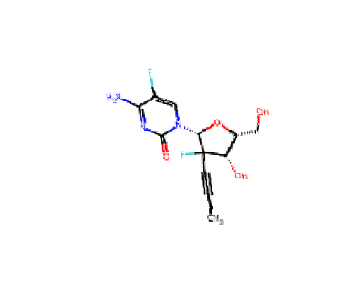 CC#CC1(F)[C@@H](O)[C@@H](CO)O[C@H]1n1cc(F)c(N)nc1=O